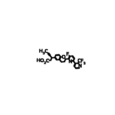 CC#CC(CC(=O)O)c1ccc2c(c1)CCC(c1nc(-c3cccnc3C(F)(F)F)ccc1F)O2